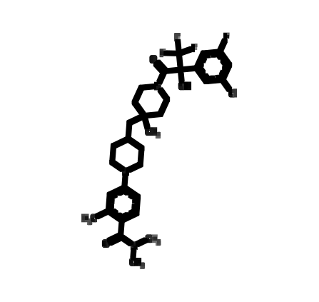 Cc1cc(N2CCC(CC3(C)CCN(C(=O)C(O)(c4cc(F)cc(Cl)c4)C(F)(F)F)CC3)CC2)ccc1C(=O)N(C)C